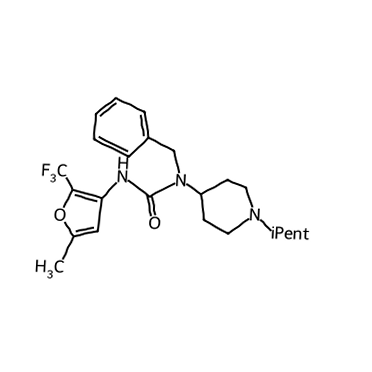 CCCC(C)N1CCC(N(Cc2ccccc2)C(=O)Nc2cc(C)oc2C(F)(F)F)CC1